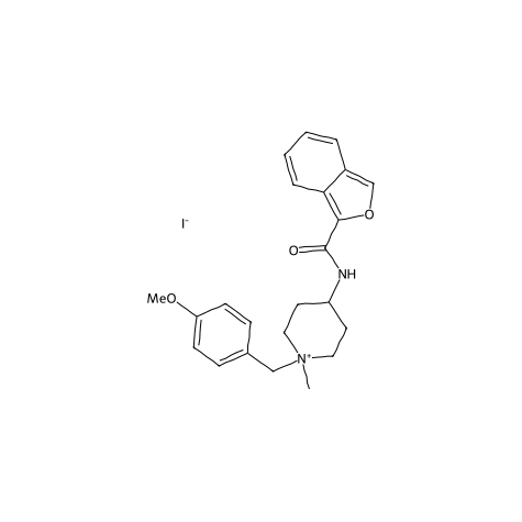 COc1ccc(C[N+]2(C)CCC(NC(=O)c3occ4ccccc34)CC2)cc1.[I-]